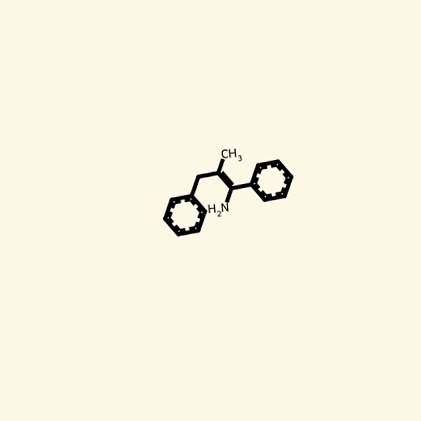 CC(Cc1ccccc1)=C(N)c1ccccc1